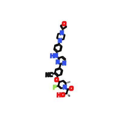 C[C@H](O)C(=O)N1C[C@@H](F)[C@@H](Oc2ccc(-c3nccc(Nc4ccc(N5CCN(C6COC6)CC5)cc4)n3)cc2C#N)C[C@@H]1C